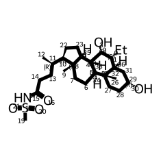 CC[C@H]1[C@@H](O)[C@@H]2[C@H](CC[C@]3(C)[C@@H]([C@H](C)CCC(=O)NS(C)(=O)=O)CC[C@@H]23)[C@@]2(C)CC[C@@H](O)C[C@@H]12